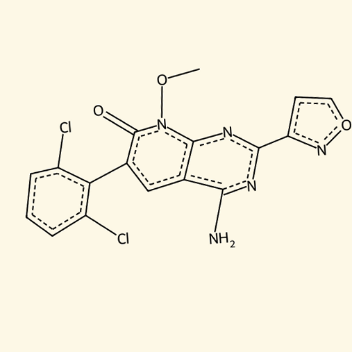 COn1c(=O)c(-c2c(Cl)cccc2Cl)cc2c(N)nc(-c3ccon3)nc21